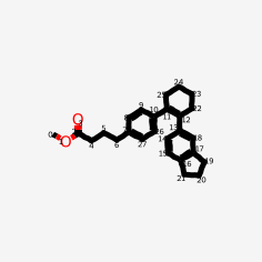 COC(=O)CCCc1ccc(C2=C(c3ccc4c(c3)CCC4)CCCC2)cc1